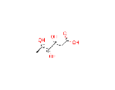 C[C@@H](O)[C@@H](O)[C@H](O)CC(=O)O